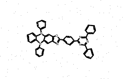 c1ccc(-c2nc(-c3ccccc3)nc(-c3ccc(-c4nc5cc6c(cc5o4)N(c4ccccc4)c4ccccc4N6c4ccccc4)cc3)n2)cc1